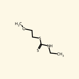 CCNC(=S)SCCOC